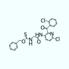 O=C(CNC(=S)OCc1ccccc1)Nc1ccc(Cl)nc1C(=O)c1ccccc1Cl